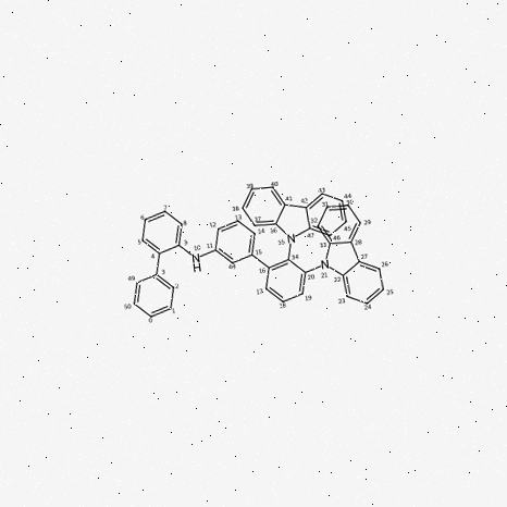 c1ccc(-c2ccccc2Nc2cccc(-c3cccc(-n4c5ccccc5c5ccccc54)c3-n3c4ccccc4c4ccccc43)c2)cc1